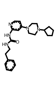 O=C(NCCc1ccccc1)Nc1cc(N2CCN(C3CCCC3)CC2)ccn1